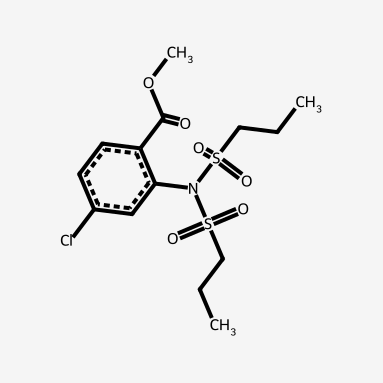 CCCS(=O)(=O)N(c1cc(Cl)ccc1C(=O)OC)S(=O)(=O)CCC